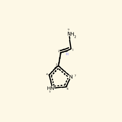 N/C=C/c1c[nH]cn1